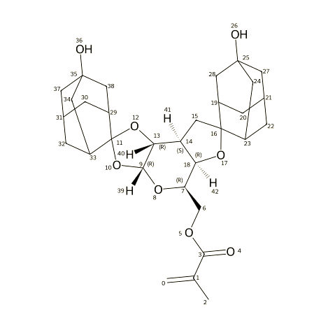 C=C(C)C(=O)OC[C@H]1O[C@@H]2OC3(O[C@@H]2[C@H]2CC4(O[C@H]21)C1CC2CC4CC(O)(C2)C1)C1CC2CC3CC(O)(C2)C1